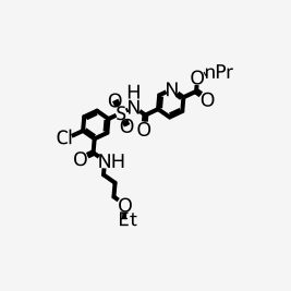 CCCOC(=O)c1ccc(C(=O)NS(=O)(=O)c2ccc(Cl)c(C(=O)NCCCOCC)c2)cn1